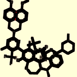 COc1ccc(CN(Cc2ccc(OC)cc2)c2cc(C)c(C(F)(F)F)c(-c3c(Cl)c4c5c(nc(OCC6CCCN(C)C6)nc5c3F)N([C@H](C)c3cccnc3NC(=O)OC(C)(C)C)CCO4)n2)cc1